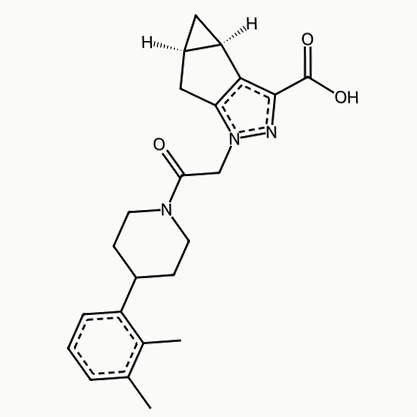 Cc1cccc(C2CCN(C(=O)Cn3nc(C(=O)O)c4c3C[C@H]3C[C@@H]43)CC2)c1C